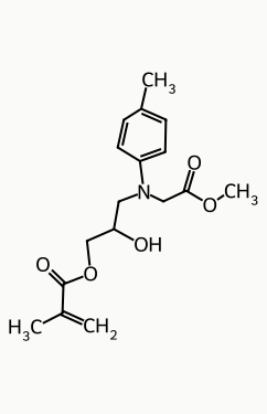 C=C(C)C(=O)OCC(O)CN(CC(=O)OC)c1ccc(C)cc1